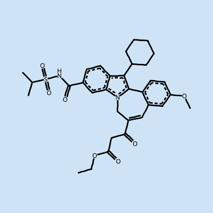 CCOC(=O)CC(=O)C1=Cc2cc(OC)ccc2-c2c(C3CCCCC3)c3ccc(C(=O)NS(=O)(=O)C(C)C)cc3n2C1